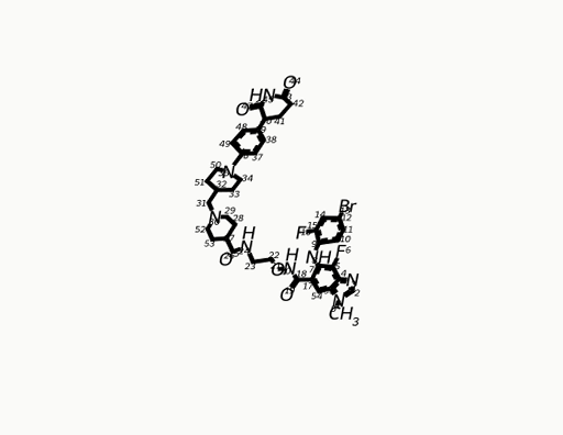 Cn1cnc2c(F)c(Nc3ccc(Br)cc3F)c(C(=O)NOCCNC(=O)C3CCN(CC4CCN(c5ccc(C6CCC(=O)NC6=O)cc5)CC4)CC3)cc21